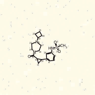 CS(=O)(=O)Nc1cccc(C2CC2C(=O)N2CCN(C3CCC3)CC2)c1